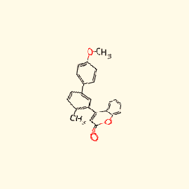 COc1ccc(-c2ccc(C)c(-c3cc(=O)oc4ccccc34)c2)cc1